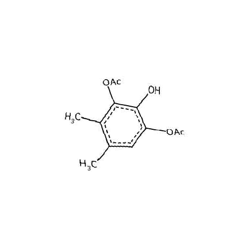 CC(=O)Oc1cc(C)c(C)c(OC(C)=O)c1O